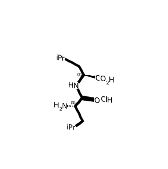 CC(C)C[C@H](NC(=O)[C@@H](N)CC(C)C)C(=O)O.Cl